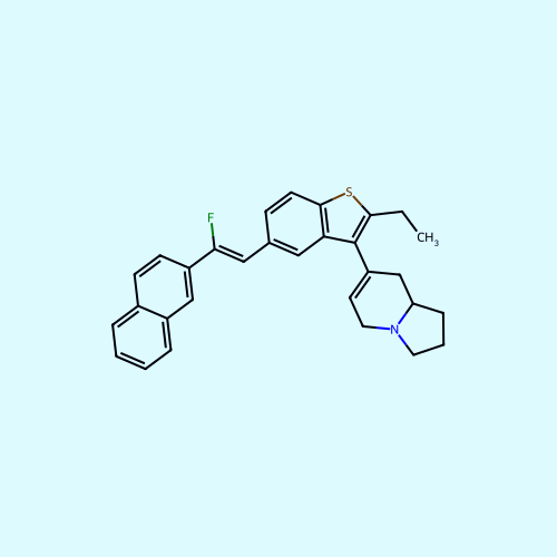 CCc1sc2ccc(C=C(F)c3ccc4ccccc4c3)cc2c1C1=CCN2CCCC2C1